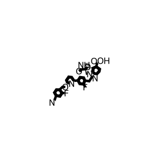 CO[C@@H](Cn1c(Cc2ccc(-c3cccc(OCc4ccc(C#N)cc4F)n3)cc2F)nc2ccc(C(=O)O)cc21)C(N)=O